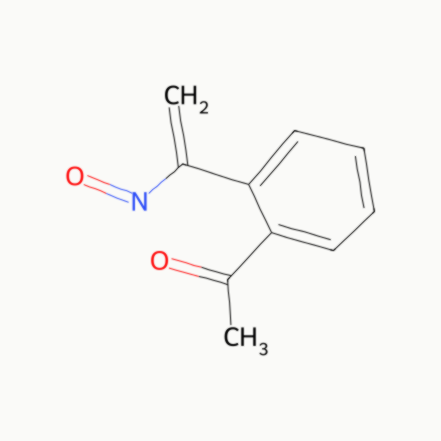 C=C(N=O)c1ccccc1C(C)=O